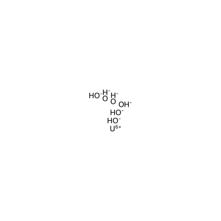 [OH-].[OH-].[OH-].[OH-].[OH-].[OH-].[U+6]